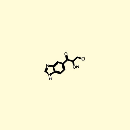 O=C(c1ccc2[nH]cnc2c1)C(O)CCl